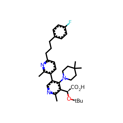 Cc1nc(CCCc2ccc(F)cc2)ccc1-c1cnc(C)c([C@H](OC(C)(C)C)C(=O)O)c1N1CCC(C)(C)CC1